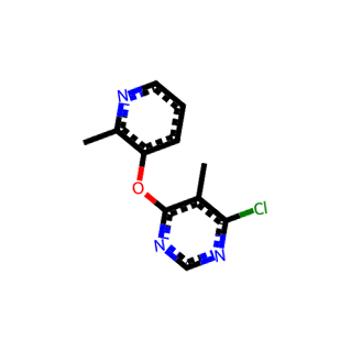 Cc1ncccc1Oc1ncnc(Cl)c1C